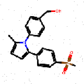 Cc1ccc(-c2ccc(S(C)(=O)=O)cc2)n1-c1ccc(CO)cc1